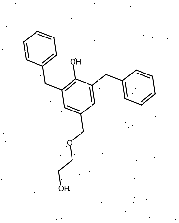 OCCOCc1cc(Cc2ccccc2)c(O)c(Cc2ccccc2)c1